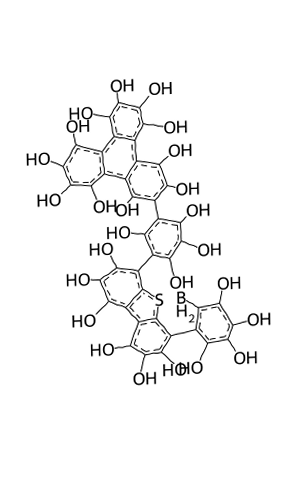 Bc1c(O)c(O)c(O)c(O)c1-c1c(O)c(O)c(O)c2c1sc1c(-c3c(O)c(O)c(O)c(-c4c(O)c(O)c5c6c(O)c(O)c(O)c(O)c6c6c(O)c(O)c(O)c(O)c6c5c4O)c3O)c(O)c(O)c(O)c12